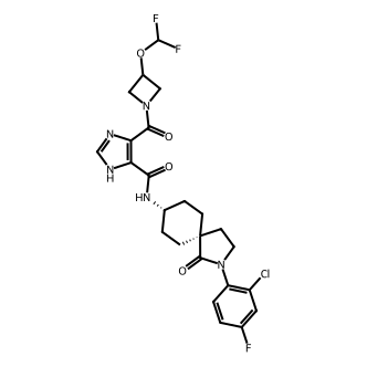 O=C(N[C@H]1CC[C@@]2(CCN(c3ccc(F)cc3Cl)C2=O)CC1)c1[nH]cnc1C(=O)N1CC(OC(F)F)C1